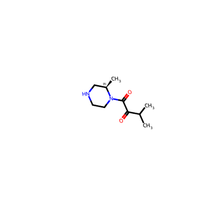 CC(C)C(=O)C(=O)N1CCNC[C@H]1C